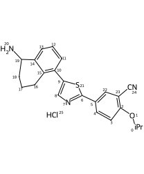 CC(C)Oc1ccc(-c2ncc(-c3cccc4c3CCCC4N)s2)cc1C#N.Cl